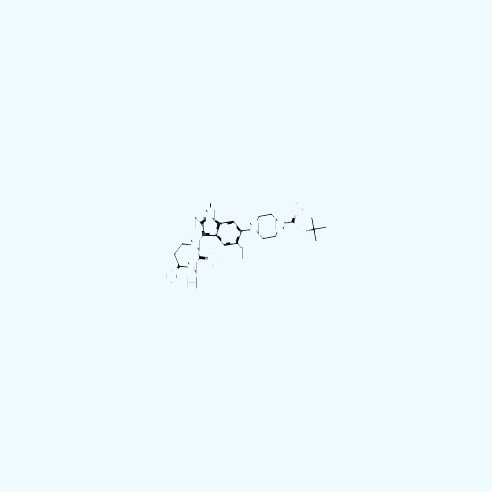 Cn1nc(N2CCC(=O)NC2=O)c2cc(F)c(N3CCN(C(=O)OC(C)(C)C)CC3)cc21